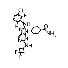 NC(=O)[C@H]1CC[C@@H](n2c(Nc3c(F)ccc(Cl)c3F)nc3cnc(NC4CC(F)(F)C4)nc32)CC1